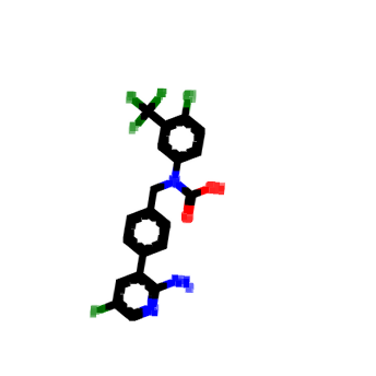 Nc1ncc(F)cc1-c1ccc(CN(C(=O)O)c2ccc(Cl)c(C(F)(F)F)c2)cc1